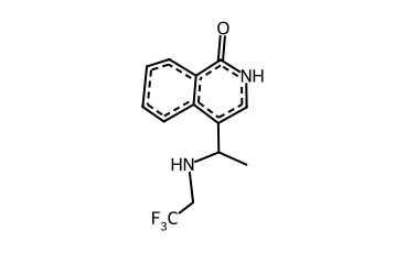 CC(NCC(F)(F)F)c1c[nH]c(=O)c2ccccc12